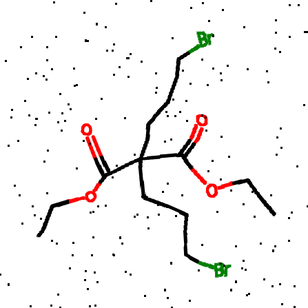 CCOC(=O)C(CCCBr)(CCCBr)C(=O)OCC